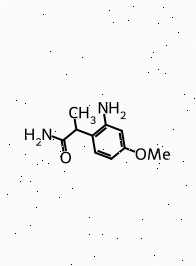 COc1ccc(C(C)C(N)=O)c(N)c1